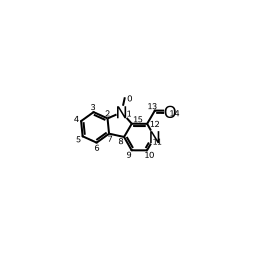 Cn1c2ccccc2c2ccnc(C=O)c21